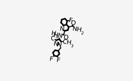 Cc1nn(Cc2ccc(F)c(F)c2)c(C)c1NC(=O)c1cc(C(N)=O)c2c(F)cccc2n1